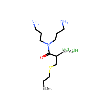 CCCCCCCCCCCCSCC(NC(C)=O)C(=O)N(CCCN)CCCN.Cl.Cl